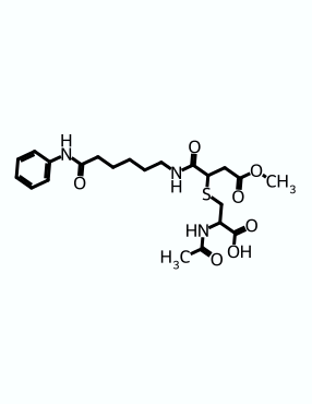 COC(=O)CC(SCC(NC(C)=O)C(=O)O)C(=O)NCCCCCC(=O)Nc1ccccc1